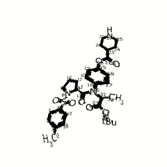 Cc1ccc(S(=O)(=O)N2CCC[C@H]2C(=O)N(c2ccc(OC(=O)C3CCNCC3)cc2)[C@@H](C)C(=O)OC(C)(C)C)cc1